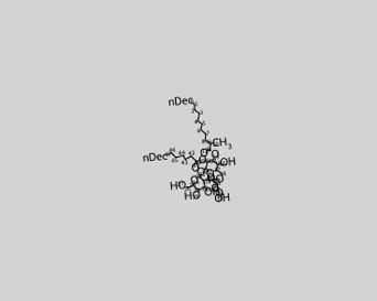 CCCCCCCCCCCCCCCCC/C=C(\C)C(=O)OC1C(O)C(CO)OC(OC2OC(CO)C(O)C(O)C2OSOOO)C1OC(=O)CCCCCCCCCCCCCCC